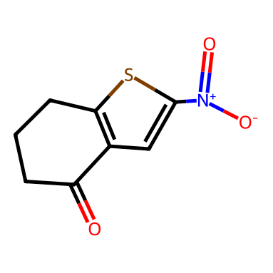 O=C1CCCc2sc([N+](=O)[O-])cc21